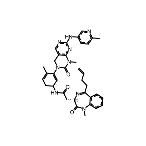 C=CCCC1=N[C@@H](CC(=O)NC2C=C(N3Cc4cnc(Nc5ccc(C)nc5)nc4N(C)C3=O)C(C)=CC2)C(=O)N(C)c2ccccc21